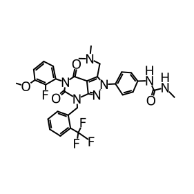 CNC(=O)Nc1ccc(-n2nc3c(c2CN(C)C)c(=O)n(-c2cccc(OC)c2F)c(=O)n3Cc2ccccc2C(F)(F)F)cc1